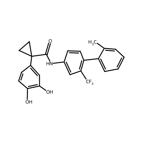 Cc1ccccc1-c1ccc(NC(=O)C2(c3ccc(O)c(O)c3)CC2)cc1C(F)(F)F